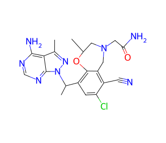 Cc1nn(C(C)c2cc(Cl)c(C#N)c3c2OC(C)CN(CC(N)=O)C3)c2ncnc(N)c12